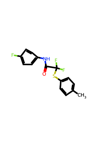 Cc1ccc(SC(F)(F)C(=O)Nc2ccc(F)cc2)cc1